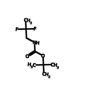 CC(F)(F)CNC(=O)OC(C)(C)C